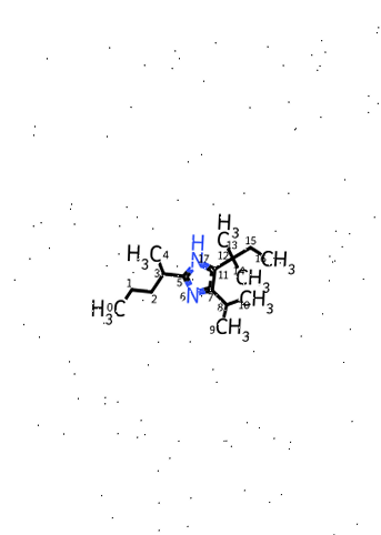 CCCC(C)c1nc(C(C)C)c(C(C)(C)CC)[nH]1